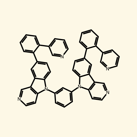 c1cncc(-c2ccccc2-c2ccc3c(c2)c2cnccc2n3-c2cccc(-n3c4ccncc4c4cc(-c5ccccc5-c5cccnc5)ccc43)c2)c1